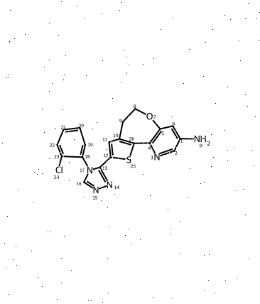 Nc1cnc2c(c1)OCCc1cc(-c3nncn3-c3ccccc3Cl)sc1-2